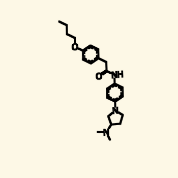 CCCCOc1ccc(CC(=O)Nc2ccc(N3CCC(N(C)C)C3)cc2)cc1